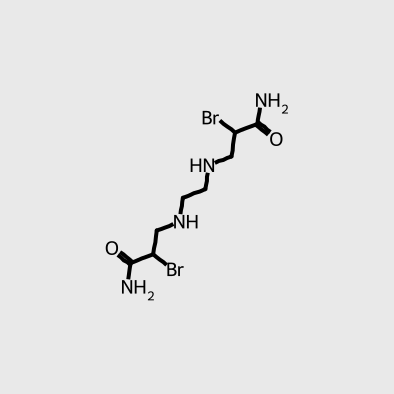 NC(=O)C(Br)CNCCNCC(Br)C(N)=O